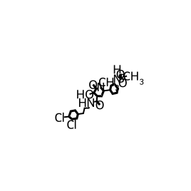 Cn1c(-c2cccc(NS(C)(=O)=O)c2)cc(C(=O)NCCCc2ccc(Cl)c(Cl)c2)c(O)c1=O